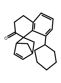 O=C1CCc2cccc(C3CCCCC3)c2C12CC1C=CC2C1